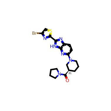 O=C([C@@H]1CCCN(c2ccc3nc(-c4nc(Br)cs4)[nH]c3n2)C1)N1CCCC1